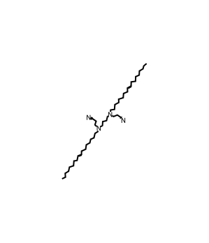 CCCCCCCC/C=C/CCCCCCCCN(CCC#N)CCCCN(CCC#N)CCCCCCCC/C=C/CCCCCCCC